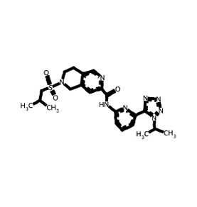 CC(C)CS(=O)(=O)N1CCc2cnc(C(=O)Nc3cccc(-c4nnnn4C(C)C)n3)cc2C1